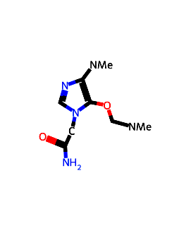 CNCOc1c(NC)ncn1CC(N)=O